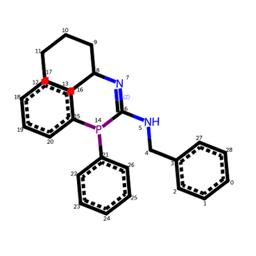 c1ccc(CN/C(=N/C2CCCCC2)P(c2ccccc2)c2ccccc2)cc1